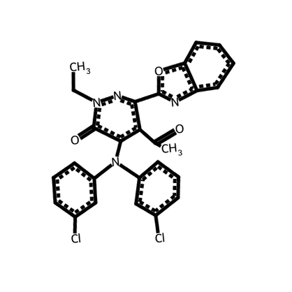 CCn1nc(-c2nc3ccccc3o2)c(C(C)=O)c(N(c2cccc(Cl)c2)c2cccc(Cl)c2)c1=O